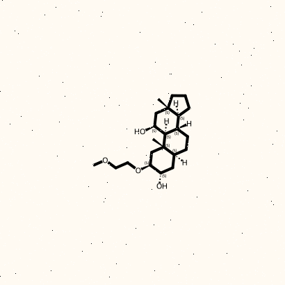 COCCO[C@H]1C[C@@]2(C)[C@@H](CC[C@@H]3[C@@H]2[C@@H](O)C[C@]2(C)CCC[C@@H]32)C[C@@H]1O